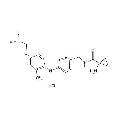 Cl.NC1(C(=O)NCc2ccc(Nc3ccc(OCC(F)F)cc3C(F)(F)F)cc2)CC1